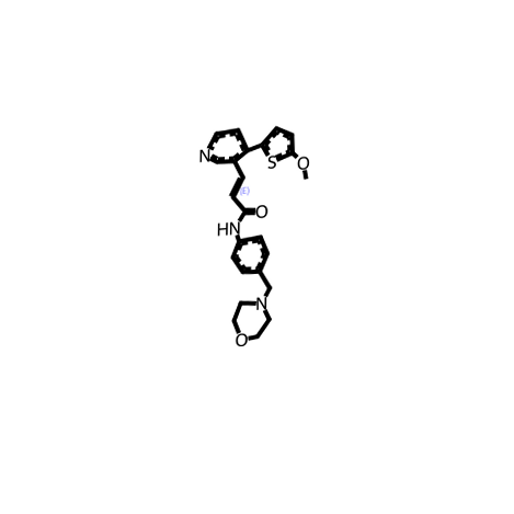 COc1ccc(-c2ccncc2/C=C/C(=O)Nc2ccc(CN3CCOCC3)cc2)s1